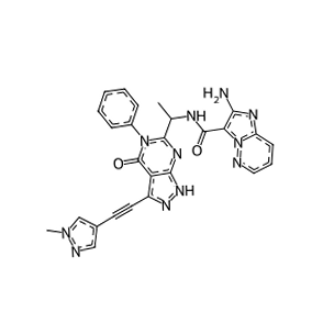 CC(NC(=O)c1c(N)nc2cccnn12)c1nc2[nH]nc(C#Cc3cnn(C)c3)c2c(=O)n1-c1ccccc1